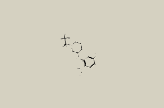 Cc1ccc([N+](=O)[O-])c(OC2CCCN(C(=O)C(F)(F)F)C2)c1